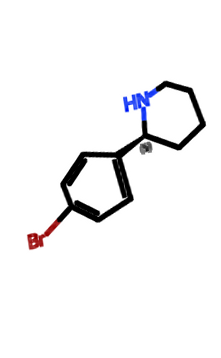 Brc1ccc([C@@H]2CCCCN2)cc1